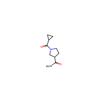 CNC(=O)C1CCN(C(=O)C2CC2)C1